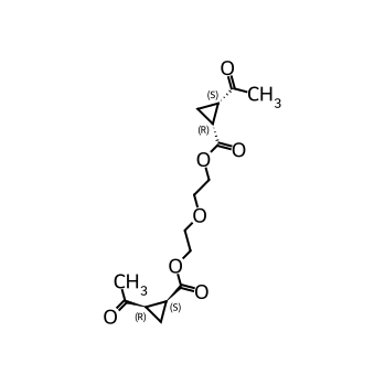 CC(=O)[C@H]1C[C@H]1C(=O)OCCOCCOC(=O)[C@H]1C[C@H]1C(C)=O